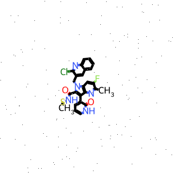 CSNC(=O)c1c(-c2ccc[nH]c2=O)c2nc(C)c(F)cc2n1Cc1cc2ccccc2nc1Cl